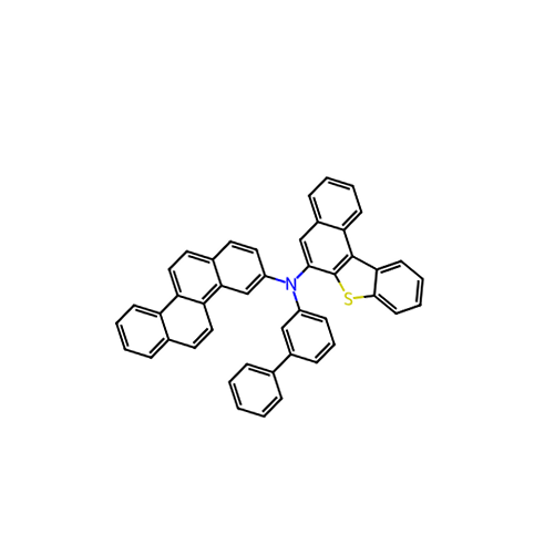 c1ccc(-c2cccc(N(c3ccc4ccc5c6ccccc6ccc5c4c3)c3cc4ccccc4c4c3sc3ccccc34)c2)cc1